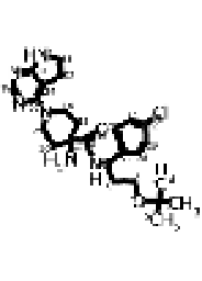 CC(C)(C)OCCC(NC(=O)C1(N)CCN(c2ncnc3[nH]ccc23)CC1)c1ccc(Cl)cc1